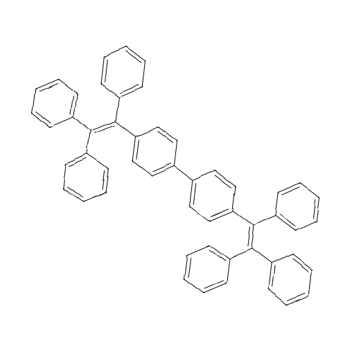 c1ccc(C(=C(c2ccccc2)c2ccc(-c3ccc(C(=C(c4ccccc4)c4ccccc4)c4ccccc4)cc3)cc2)c2ccccc2)cc1